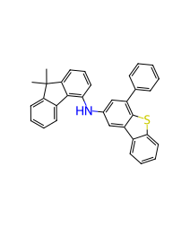 CC1(C)c2ccccc2-c2c(Nc3cc(-c4ccccc4)c4sc5ccccc5c4c3)cccc21